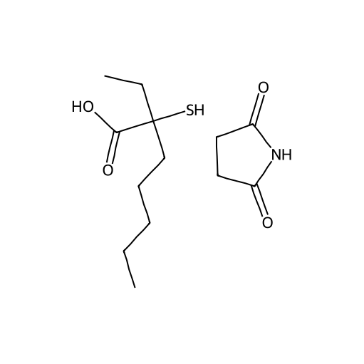 CCCCCC(S)(CC)C(=O)O.O=C1CCC(=O)N1